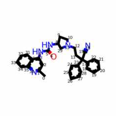 Cc1cc(NC(=O)NC2CCN(CCC(C#N)(c3ccccc3)c3ccccc3)C2)c2ccccc2n1